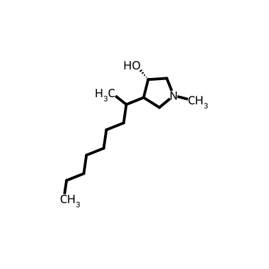 CCCCCCCC(C)C1CN(C)C[C@H]1O